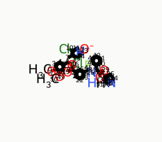 COc1ccc([C@H](Cc2c(Cl)c[n+]([O-])cc2Cl)OC(=O)c2cccc(CNC(C(=O)O[C@H]3CN4CCC3CC4)c3ccccc3F)c2)cc1OC